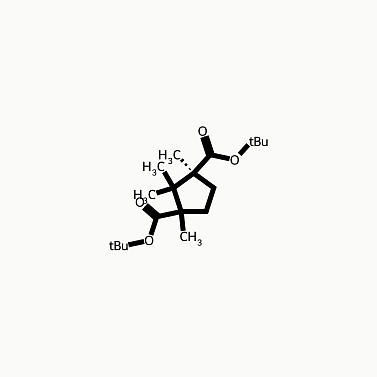 CC(C)(C)OC(=O)C1(C)CC[C@](C)(C(=O)OC(C)(C)C)C1(C)C